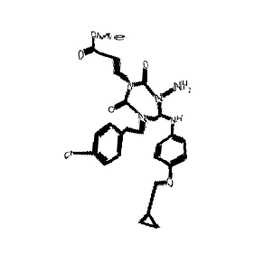 COC(=O)CCN1C(=O)N(N)C(Nc2ccc(OCC3CC3)cc2)N(Cc2ccc(Cl)cc2)C1=O